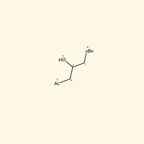 CCCCCC(O)CC(C)=O